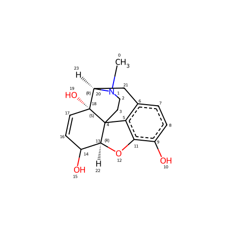 CN1CCC23c4c5ccc(O)c4O[C@H]2C(O)C=C[C@@]3(O)[C@H]1C5